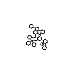 c1ccc(-c2ccc(-c3ccccc3N(c3cccc(-c4cccc5c4oc4ccccc45)c3)c3ccccc3-c3cccc4c3-c3ccccc3C4(c3ccccc3)c3ccccc3)cc2)cc1